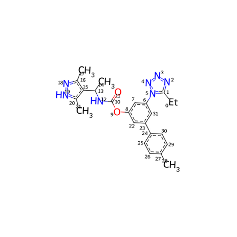 CCc1nnnn1-c1cc(OC(=O)NC(C)c2c(C)n[nH]c2C)cc(-c2ccc(C)cc2)c1